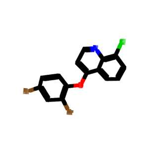 Clc1cccc2c(Oc3ccc(Br)cc3Br)ccnc12